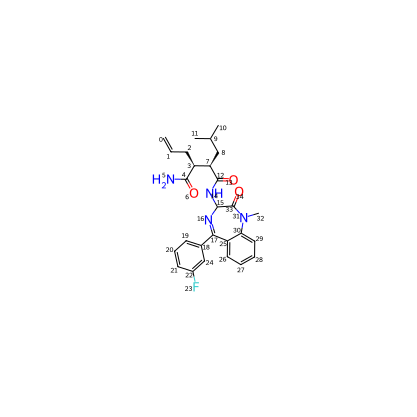 C=CC[C@H](C(N)=O)[C@@H](CC(C)C)C(=O)NC1N=C(c2cccc(F)c2)c2ccccc2N(C)C1=O